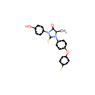 CC1C(=O)N(c2ccc(O)cc2)C(=S)N1c1ccc(Oc2ccc(F)cc2)cc1